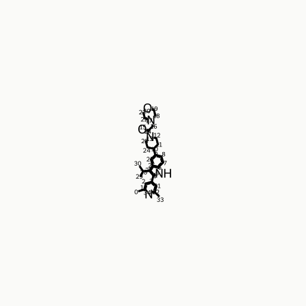 Cc1cc(-c2[nH]c3ccc(C4CCN(C(=O)CN5CCOCC5)CC4)cc3c2C(C)C)cc(C)n1